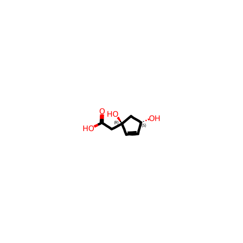 O=C(O)C[C@@]1(O)C=C[C@@H](O)C1